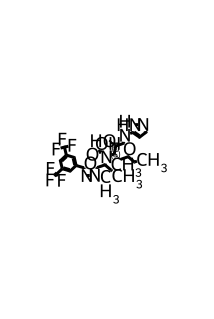 CCCC[C@@H]([C@@H](O)C(=O)Nc1ccn[nH]1)N(C(=O)O)C(c1nnc(-c2cc(C(F)(F)F)cc(C(F)(F)F)c2)o1)C(C)(C)C